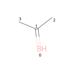 B=C(C)C